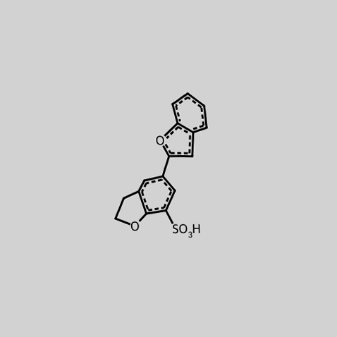 O=S(=O)(O)c1cc(-c2cc3ccccc3o2)cc2c1OCC2